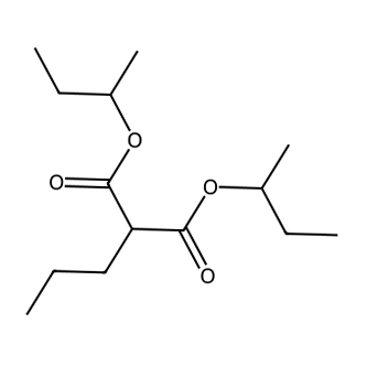 CCCC(C(=O)OC(C)CC)C(=O)OC(C)CC